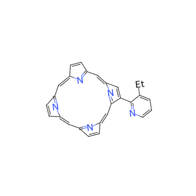 CCc1cccnc1C1=CC2=CC3=NC(=CC4=NC(=CC5=NC(=CC1=N2)C=C5)C=C4)C=C3